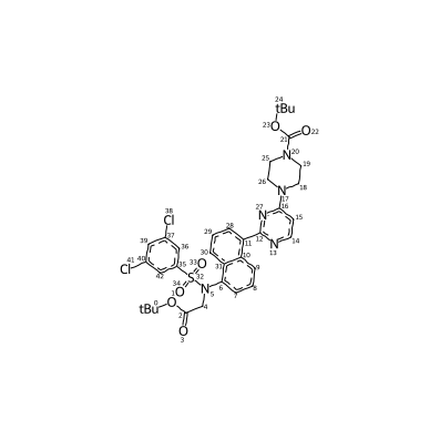 CC(C)(C)OC(=O)CN(c1cccc2c(-c3nccc(N4CCN(C(=O)OC(C)(C)C)CC4)n3)cccc12)S(=O)(=O)c1cc(Cl)cc(Cl)c1